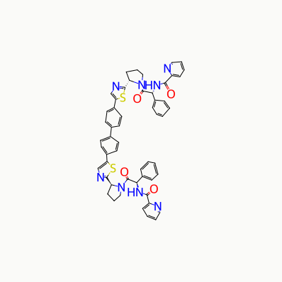 O=C(N[C@@H](C(=O)N1CCC[C@H]1c1ncc(-c2ccc(-c3ccc(-c4cnc([C@@H]5CCCN5C(=O)[C@H](NC(=O)c5ccccn5)c5ccccc5)s4)cc3)cc2)s1)c1ccccc1)c1ccccn1